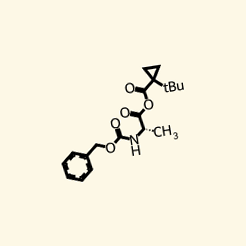 C[C@H](NC(=O)OCc1ccccc1)C(=O)OC(=O)C1(C(C)(C)C)CC1